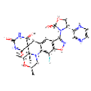 C[C@@H]1CN2c3c(cc4c(N5C(=O)OC[C@@H]5c5cnccn5)noc4c3F)CC3(C(=O)NC(=O)NC3=O)[C@H]2[C@H](C)O1